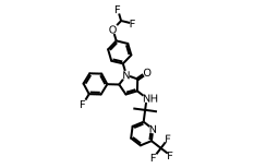 CC(C)(NC1=CC(c2cccc(F)c2)N(c2ccc(OC(F)F)cc2)C1=O)c1cccc(C(F)(F)F)n1